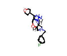 Fc1ccc(CN2C[C@@H]3OCc4c(C5CCOCC5)nnn4[C@H]3C2)cc1